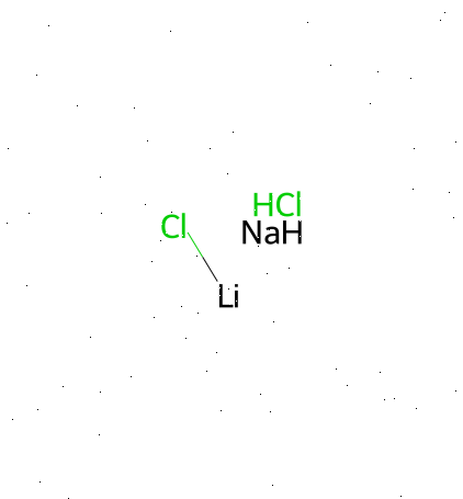 Cl.[Li][Cl].[NaH]